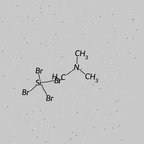 Br[Si](Br)(Br)Br.CN(C)C